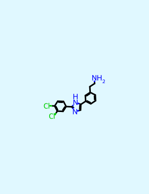 NCCc1cccc(-c2cnc(-c3ccc(Cl)c(Cl)c3)[nH]2)c1